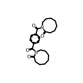 O=C1CCCCCCCN1C(=O)c1ccc(C(=O)N2CCCCCCCC2=O)cc1